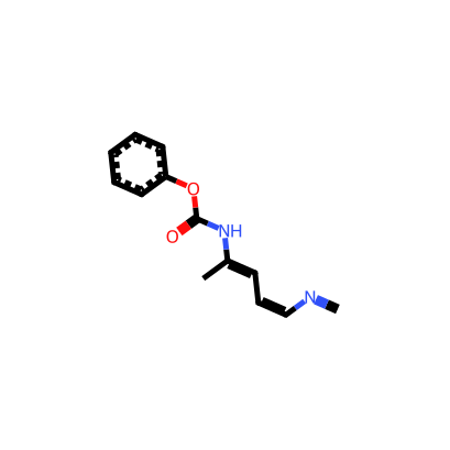 C=N/C=C\C=C(/C)NC(=O)Oc1ccccc1